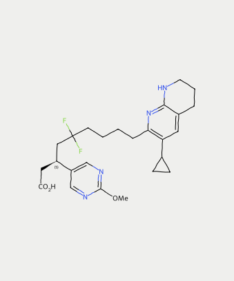 COc1ncc([C@@H](CC(=O)O)CC(F)(F)CCCCc2nc3c(cc2C2CC2)CCCN3)cn1